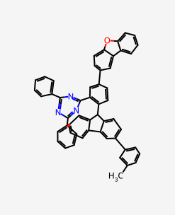 Cc1cccc(-c2ccc3c(c2)-c2ccccc2C3c2ccc(-c3ccc4oc5ccccc5c4c3)cc2-c2nc(-c3ccccc3)nc(-c3ccccc3)n2)c1